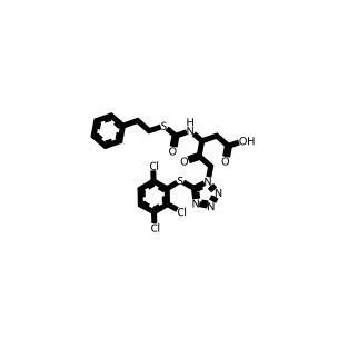 O=C(O)CC(NC(=O)SCCc1ccccc1)C(=O)Cn1nnnc1Sc1c(Cl)ccc(Cl)c1Cl